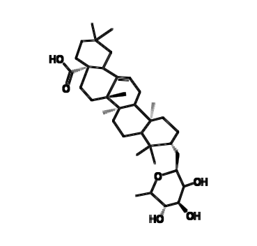 CC1O[C@@H](C[C@H]2CC[C@@]3(C)C(CC[C@]4(C)C3CC=C3C5CC(C)(C)CC[C@]5(C(=O)O)CC[C@]34C)C2(C)C)C(O)[C@@H](O)[C@@H]1O